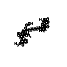 COc1cc(-c2cn(C)c(=O)c3cnccc23)cc(OC)c1CN1CC(C(=O)NCCCCCCCCNc2cccc3c2C(=O)N(C2CCC(=O)N(C)C2=O)C3=O)C1.O=CO